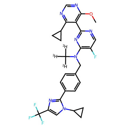 [2H]C([2H])([2H])N(Cc1ccc(-c2nc(C(F)(F)F)cn2C2CC2)cc1)c1nc(-c2c(OC)ncnc2C2CC2)ncc1F